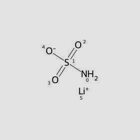 NS(=O)(=O)[O-].[Li+]